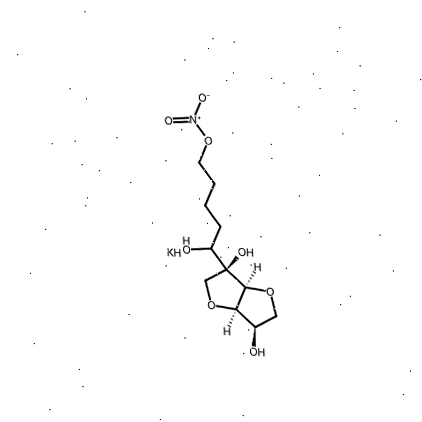 O=[N+]([O-])OCCCCC(O)[C@@]1(O)CO[C@@H]2[C@H](O)CO[C@@H]21.[KH]